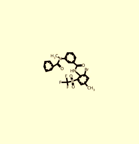 Cc1cc(Br)c(NC(=O)c2cccc(N(C)C(=O)c3ccccc3)c2)c(S(=O)(=O)C(F)(F)F)c1